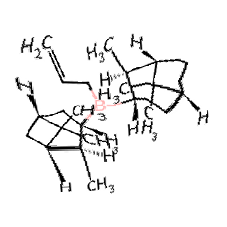 C=CCB([C@H]1C[C@H]2C[C@@H]([C@@H]1C)C2(C)C)[C@H]1C[C@H]2C[C@@H]([C@@H]1C)C2(C)C